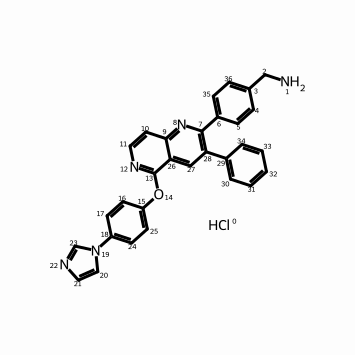 Cl.NCc1ccc(-c2nc3ccnc(Oc4ccc(-n5ccnc5)cc4)c3cc2-c2ccccc2)cc1